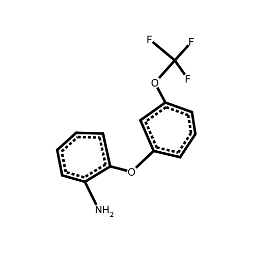 Nc1ccccc1Oc1cccc(OC(F)(F)F)c1